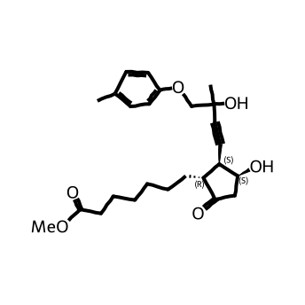 COC(=O)CCCCCC[C@H]1C(=O)C[C@H](O)[C@@H]1C#CC(C)(O)COc1ccc(C)cc1